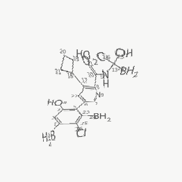 Bc1cc(O)c(-c2cnc(C(=O)NC(B)(O)C(=O)O)c(C3CCC3)c2)c(B)c1Cl